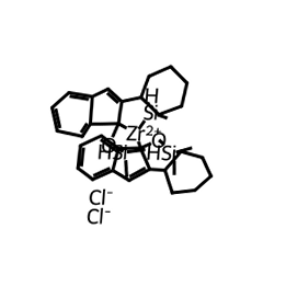 C[SiH](C)O[C]1([Zr+2]([SiH](C)C)[C]2(O[SiH](C)C)C(C3CCCCC3)=Cc3ccccc32)C(C2CCCCC2)=Cc2ccccc21.[Cl-].[Cl-]